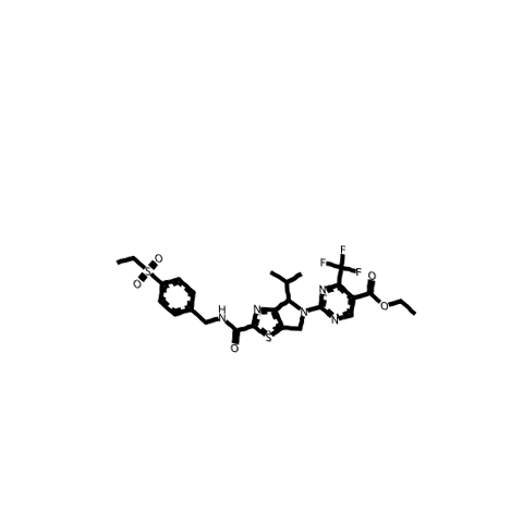 CCOC(=O)c1cnc(N2Cc3sc(C(=O)NCc4ccc(S(=O)(=O)CC)cc4)nc3C2C(C)C)nc1C(F)(F)F